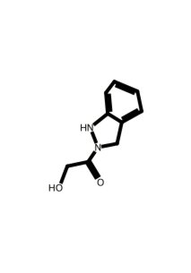 O=C(CO)N1Cc2ccccc2N1